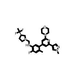 Cc1cc(F)c(NCN2CC[C@@H](C(C)(F)F)C2)cc1-c1cc(-c2cnn(C)c2)nc(N2CCOCC2)c1